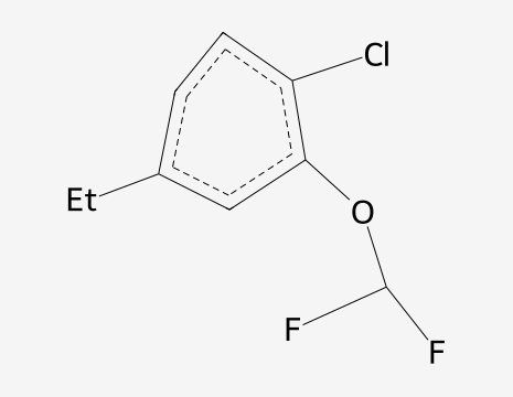 CCc1ccc(Cl)c(OC(F)F)c1